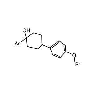 CC(=O)C1(O)CCC(c2ccc(OC(C)C)cc2)CC1